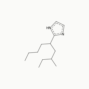 CCCCC(CC(C)CC)c1ncc[nH]1